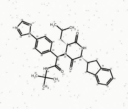 CC(C)C[C@@H]1C(=O)N[C@H](C2Cc3ccccc3C2)C(=O)N1[C@@H](C(=O)NC(C)(C)C)c1ccc(-n2cncn2)cc1